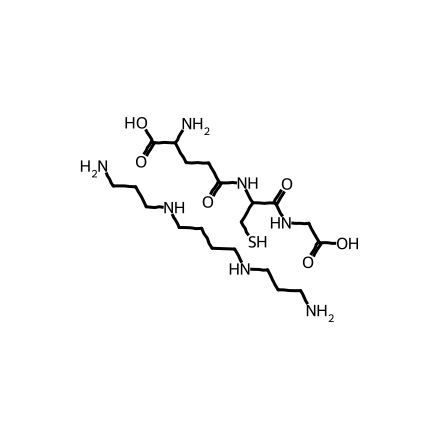 NC(CCC(=O)NC(CS)C(=O)NCC(=O)O)C(=O)O.NCCCNCCCCNCCCN